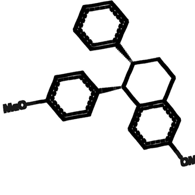 COc1ccc([C@H]2c3ccc(OC)cc3CC[C@H]2c2ccccc2)cc1